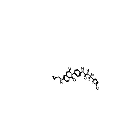 O=C(Nc1ccc(N2C(=O)Cc3cc(NCC4CC4)ccc3C2=O)cc1)NS(=O)(=O)c1ccc(Cl)s1